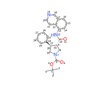 CC(C)(C)OC(=O)N1C[C@@H](C(=O)Nc2cccc3cnccc23)[C@H](c2ccccc2)C1